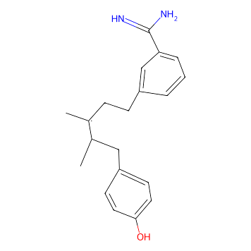 C[C](CCc1cccc(C(=N)N)c1)C(C)Cc1ccc(O)cc1